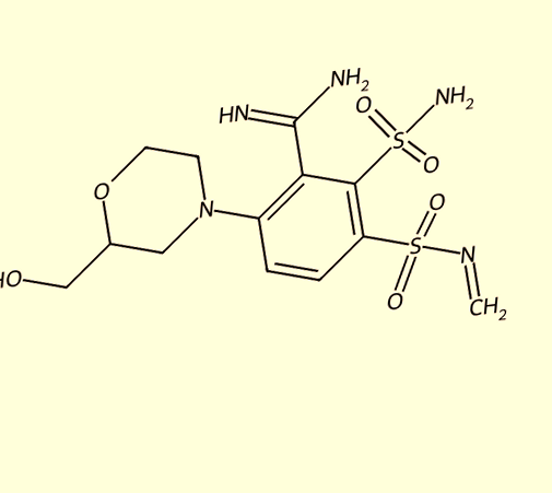 C=NS(=O)(=O)c1ccc(N2CCOC(CO)C2)c(C(=N)N)c1S(N)(=O)=O